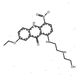 CCOc1ccc2[nH]c3c([N+](=O)[O-])ccc(NCCNCCO)c3c(=O)c2c1